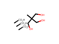 CC(=O)O.CC(=O)O.CC(=O)O.CC(CO)(CO)CO